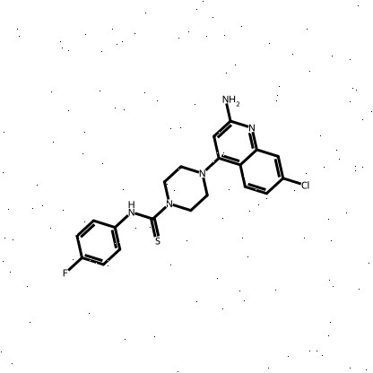 Nc1cc(N2CCN(C(=S)Nc3ccc(F)cc3)CC2)c2ccc(Cl)cc2n1